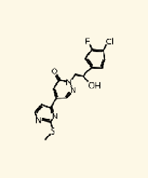 CSc1nccc(-c2cnn(CC(O)c3ccc(Cl)c(F)c3)c(=O)c2)n1